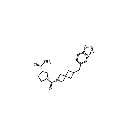 NC(=O)[C@H]1CCN(C(=O)N2CC3(CC(Cc4ccc5ncnn5c4)C3)C2)C1